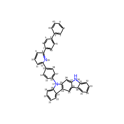 c1ccc(-c2ccc(-c3cccc(-c4ccc(-n5c6ccccc6c6cc7c(cc65)[nH]c5ccccc57)cc4)n3)cc2)cc1